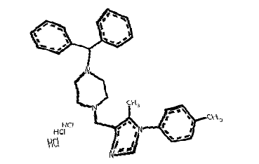 Cc1ccc(-n2cnc(CN3CCN(C(c4ccccc4)c4ccccc4)CC3)c2C)cc1.Cl.Cl.Cl